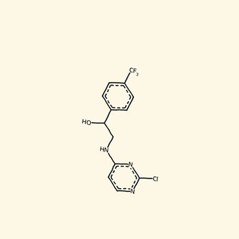 OC(CNc1ccnc(Cl)n1)c1ccc(C(F)(F)F)cc1